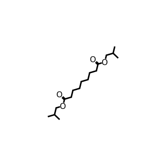 CC(C)COC(=O)CCCCCCCC(=O)OCC(C)C